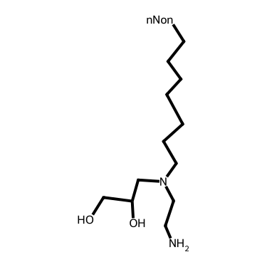 CCCCCCCCCCCCCCCCN(CCN)CC(O)CO